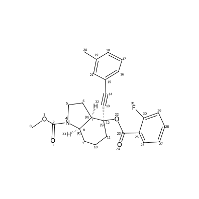 COC(=O)N1CC[C@@H]2[C@H]1CCC[C@]2(C#Cc1cccc(C)c1)OC(=O)c1ccccc1F